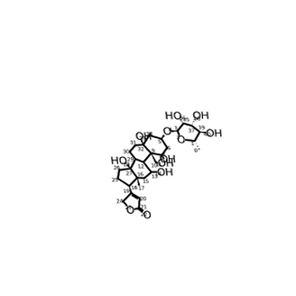 C[C@@H]1O[C@@H](O[C@H]2C[C@@H](O)[C@]3(CO)C4C(O)C[C@]5(C)[C@@H](C6=CC(=O)OC6)CC[C@]5(O)C4CC[C@]3(O)C2)[C@H](O)[C@H](O)[C@H]1O